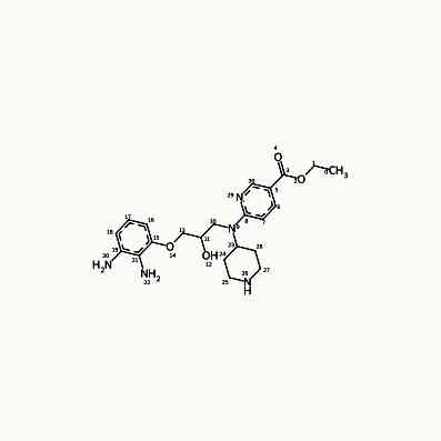 CCOC(=O)c1ccc(N(CC(O)COc2cccc(N)c2N)C2CCNCC2)nc1